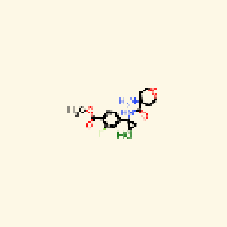 COC(=O)c1ccc(C2(NC(=O)C3(N)CCOCC3)CC2)cc1F.Cl